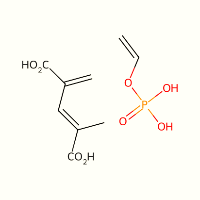 C=C(C=C(C)C(=O)O)C(=O)O.C=COP(=O)(O)O